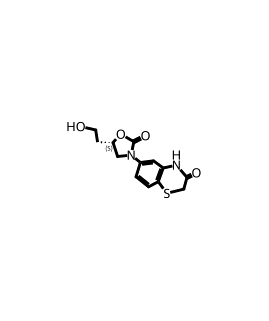 O=C1CSc2ccc(N3C[C@H](CCO)OC3=O)cc2N1